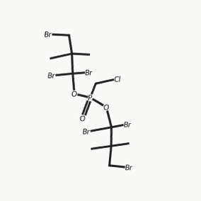 CC(C)(CBr)C(Br)(Br)OP(=O)(CCl)OC(Br)(Br)C(C)(C)CBr